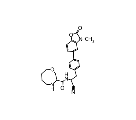 Cn1c(=O)oc2ccc(-c3ccc(CC(C#N)NC(=O)C4COCCCCN4)cc3)cc21